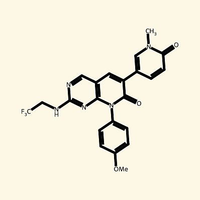 COc1ccc(-n2c(=O)c(-c3ccc(=O)n(C)c3)cc3cnc(NCC(F)(F)F)nc32)cc1